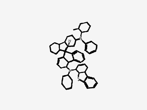 CC1CCCCC1N(C1=CC=CCC1)C1CCC2C3CCCCC3C3(c4ccccc4C4C(N(C5CCCCC5)C5C=CCC6c7ccccc7SC65)CC=CC43)[C@H]2C1